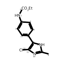 CCOC(=O)Nc1ccc(-c2[nH]c(C)nc2Cl)cc1